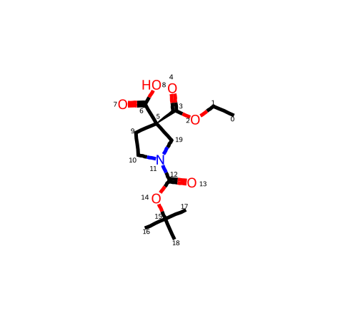 CCOC(=O)[C@]1(C(=O)O)CCN(C(=O)OC(C)(C)C)C1